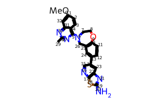 COc1ccc2c(N3CCOc4ccc(-c5cnc6sc(N)nc6c5)cc4C3)nc(C)nc2c1